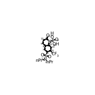 CCCN(CCC)S(=O)(=O)c1cc2c[c]c(=O)n(P(=O)(O)O)c2cc1C(F)(F)F